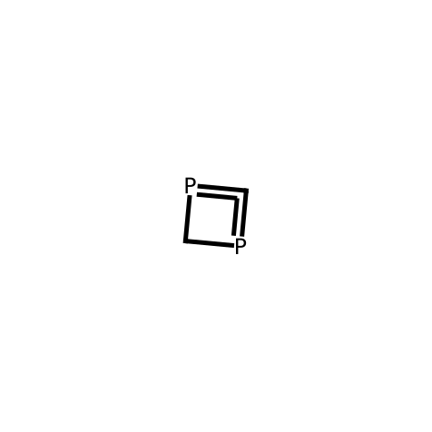 C1=PCP=1